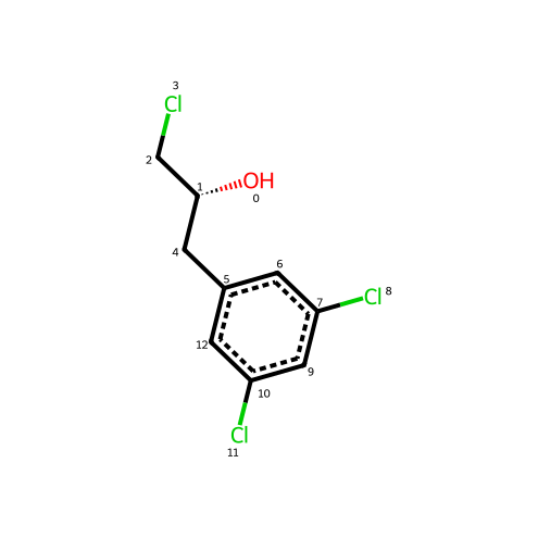 O[C@@H](CCl)Cc1cc(Cl)cc(Cl)c1